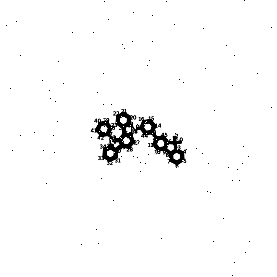 CC1(C)c2ccccc2-c2ccc(-c3cccc(-n4c5ccccc5c5c4ccc4c6ccccc6n(-c6ccccc6)c45)c3)cc21